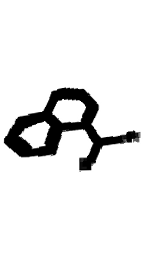 CCCC(Br)c1cccc2ccccc12